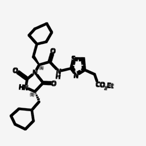 CCOC(=O)Cc1csc(NC(=O)[C@H](CC2CCCCC2)N2C(=O)N[C@@H](CC3CCCCC3)C2=O)n1